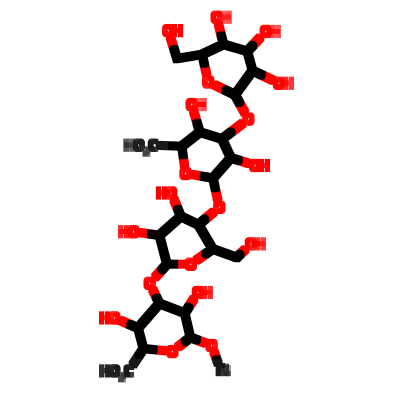 CCOC1OC(C(=O)O)C(O)C(OC2OC(CO)C(OC3OC(C(=O)O)C(O)C(OC4OC(CO)C(O)C(O)C4O)C3O)C(O)C2O)C1O